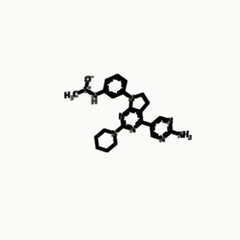 C[S+]([O-])Nc1cccc(N2CCc3c(-c4cnc(N)nc4)nc(N4CCCCC4)nc32)c1